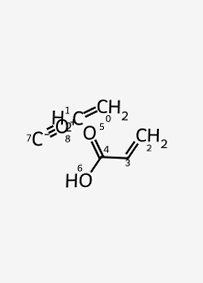 C=C.C=CC(=O)O.[C-]#[O+]